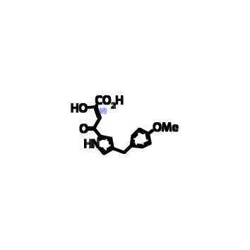 COc1ccc(Cc2c[nH]c(C(=O)/C=C(\O)C(=O)O)c2)cc1